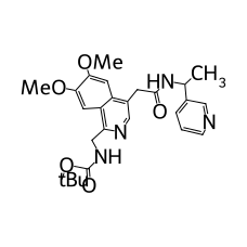 COc1cc2c(CC(=O)NC(C)c3cccnc3)cnc(CNC(=O)OC(C)(C)C)c2cc1OC